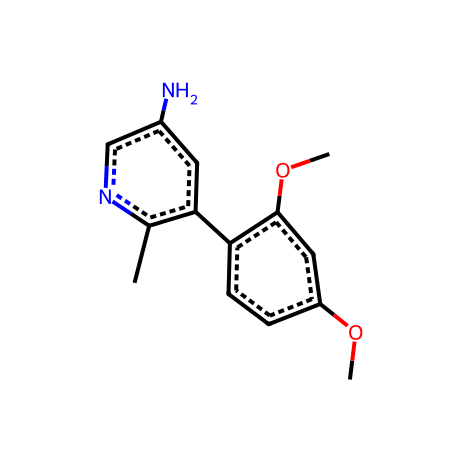 COc1ccc(-c2cc(N)cnc2C)c(OC)c1